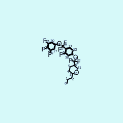 CCCC1CCC(C(F)(F)Oc2ccc(C(F)(F)Oc3cc(F)c(F)c(F)c3)c(F)c2)CO1